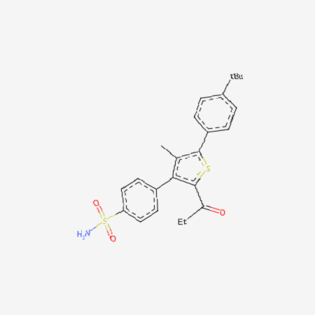 CCC(=O)c1sc(-c2ccc(C(C)(C)C)cc2)c(C)c1-c1ccc(S(N)(=O)=O)cc1